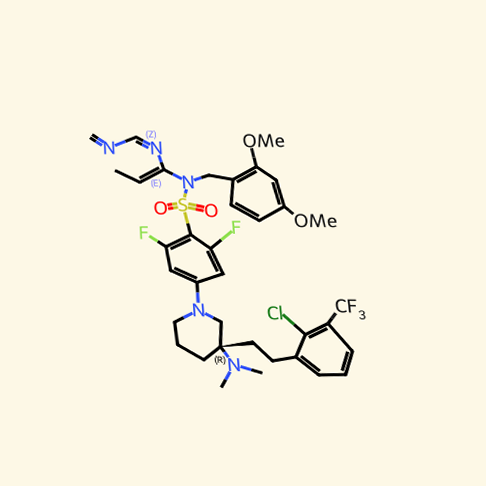 C=N/C=N\C(=C/C)N(Cc1ccc(OC)cc1OC)S(=O)(=O)c1c(F)cc(N2CCC[C@@](CCc3cccc(C(F)(F)F)c3Cl)(N(C)C)C2)cc1F